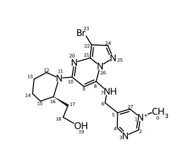 C[n+]1cncc(CNc2cc(N3CCCC[C@@H]3CCO)nc3c(Br)cnn23)c1